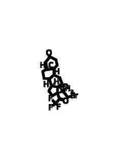 C[C@]12CCC(=O)C=C1CC[C@@H]1[C@@H]2CC[C@@]2(C)[C@H]1CC[C@@]2(C(=O)CBr)C(=O)C(F)(F)F